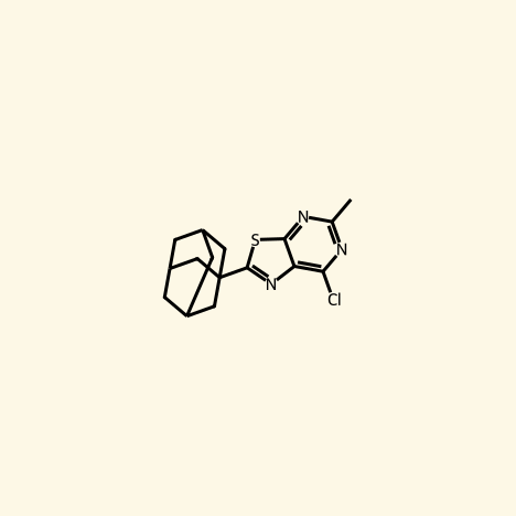 Cc1nc(Cl)c2nc(C34CC5CC(CC(C5)C3)C4)sc2n1